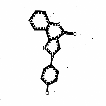 O=c1sc2ccccc2c2nn(-c3ccc(Cl)cc3)cc12